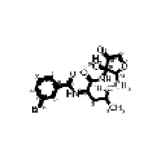 CC(C)CC(NC(=O)c1cccc(Br)c1)C(=O)NC1(C)C(=O)COC1C